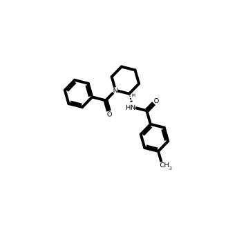 Cc1ccc(C(=O)N[C@H]2CCCCN2C(=O)c2ccccc2)cc1